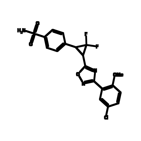 COc1ccc(Cl)cc1-c1noc(C2C(c3ccc(S(N)(=O)=O)cc3)C2(F)F)n1